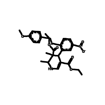 CCOC(=O)C1=CNC(C)C(C)(C(=O)OCC)C1c1cc([N+](=O)[O-])ccc1SCc1ccc(OC)cc1